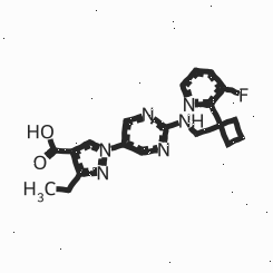 CCc1nn(-c2cnc(NCC3(c4ncccc4F)CCC3)nc2)cc1C(=O)O